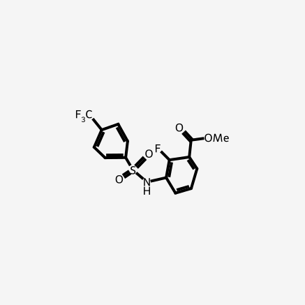 COC(=O)c1cccc(NS(=O)(=O)c2ccc(C(F)(F)F)cc2)c1F